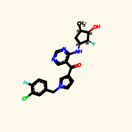 [CH2][C@@H]1C[C@@H](Nc2ncncc2C(=O)c2ccn(Cc3ccc(F)c(Cl)c3)c2)[C@@H](F)[C@@H]1O